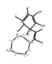 CCCC1=C(CCC)C(CCC)(C(C)=C(CC)[SiH]2O[SiH2]O[SiH2]O[SiH2]O2)C(C)C(C)=C1C